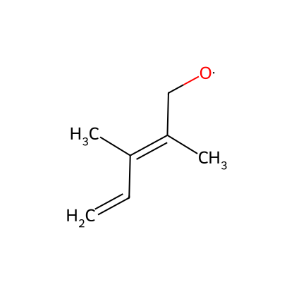 C=C/C(C)=C(\C)C[O]